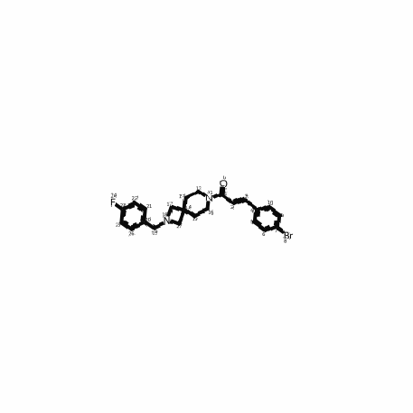 O=C(/C=C/c1ccc(Br)cc1)N1CCC2(CC1)CN(Cc1ccc(F)cc1)C2